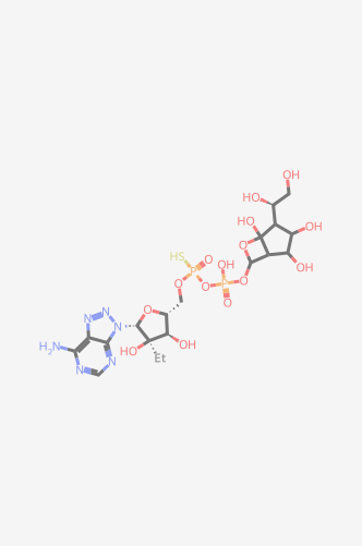 CC[C@@]1(O)[C@H](O)[C@@H](COP(=O)(S)OP(=O)(O)OC2OC3(O)C2C(O)C(O)C3[C@@H](O)CO)O[C@H]1n1nnc2c(N)ncnc21